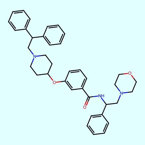 O=C(NC(CN1CCOCC1)c1ccccc1)c1cccc(OC2CCN(CC(c3ccccc3)c3ccccc3)CC2)c1